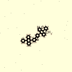 Cc1cccc(C)c1-c1c2ccccc2c(-c2ccc3c(c2)sc2ccc(-c4c5ccccc5c(-c5ccccc5)c5ccccc45)cc23)c2ccccc12